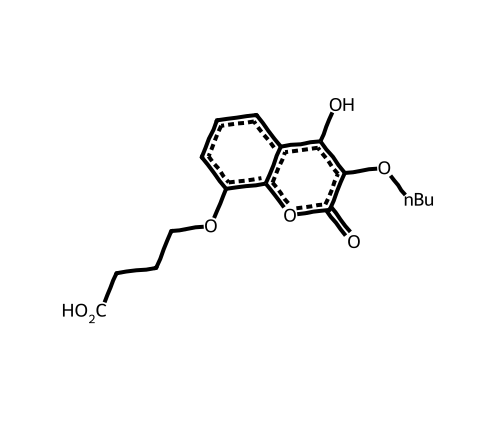 CCCCOc1c(O)c2cccc(OCCCC(=O)O)c2oc1=O